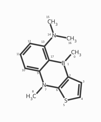 CB1c2ccsc2N(C)c2cccc(N(C)C)c21